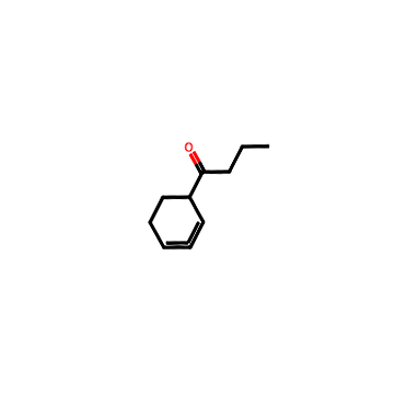 CCCC(=O)C1C=C=CCC1